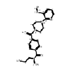 CCCCN(CCO)C(=O)c1ccc(C(=O)N2CCN(c3ncccc3NC(C)C)CC2)cc1